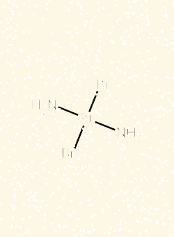 [NH2][Pt]([NH2])([Br])[Br]